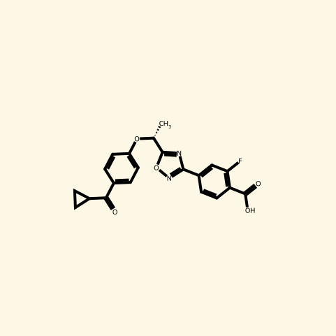 C[C@@H](Oc1ccc(C(=O)C2CC2)cc1)c1nc(-c2ccc(C(=O)O)c(F)c2)no1